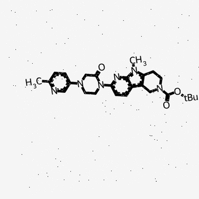 Cc1ccc(N2CCN(c3ccc4c5c(n(C)c4n3)CCN(C(=O)OC(C)(C)C)C5)C(=O)C2)cn1